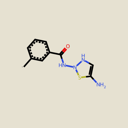 [CH2]c1cccc(C(=O)NN2NC=C(N)S2)c1